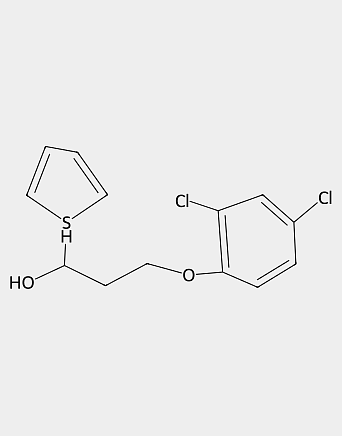 OC(CCOc1ccc(Cl)cc1Cl)[SH]1C=CC=C1